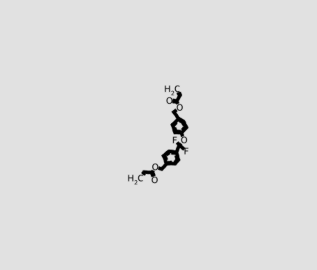 C=CC(=O)OCc1ccc(OC(F)(F)c2ccc(COC(=O)C=C)cc2)cc1